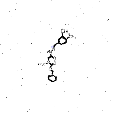 Cc1ccc(/C=N/NC(=O)CN(C)C(=O)OCc2ccccc2)cc1C